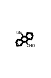 CC(C)(C)c1c2ccccc2c(C=O)c2ccccc12